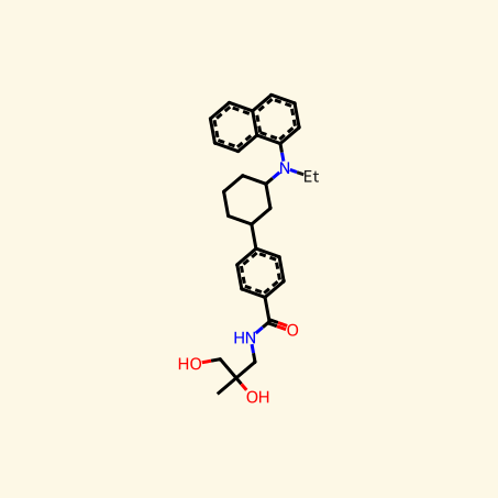 CCN(c1cccc2ccccc12)C1CCCC(c2ccc(C(=O)NCC(C)(O)CO)cc2)C1